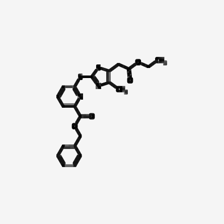 CCOC(=O)Cc1sc(Sc2cccc(C(=O)OCc3ccccc3)n2)nc1C